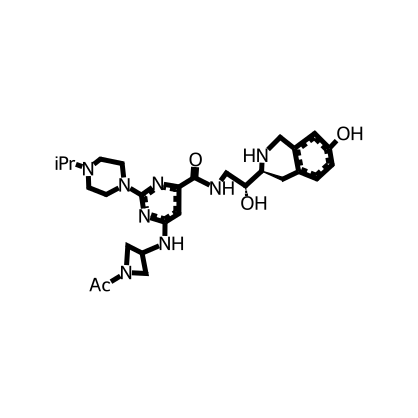 CC(=O)N1CC(Nc2cc(C(=O)NC[C@@H](O)[C@@H]3Cc4ccc(O)cc4CN3)nc(N3CCN(C(C)C)CC3)n2)C1